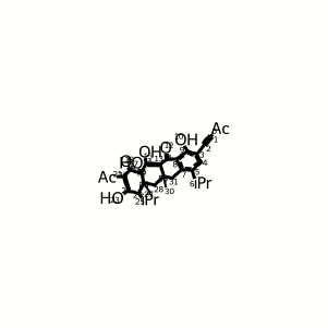 CC(=O)C#Cc1cc(C(C)C)c2c(c1O)C(=O)C1=C(O)[C@@]3(O)C(=O)C(C(C)=O)=C(O)C(C(C)C)[C@@]3(C)C[C@@]1(C)C2